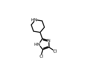 Clc1nc(C2CCNCC2)[nH]c1Cl